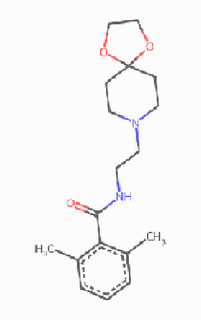 Cc1cccc(C)c1C(=O)NCCN1CCC2(CC1)OCCO2